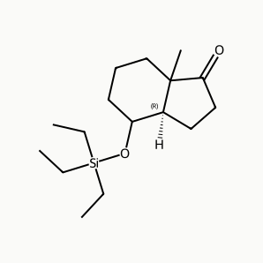 CC[Si](CC)(CC)OC1CCCC2(C)C(=O)CC[C@@H]12